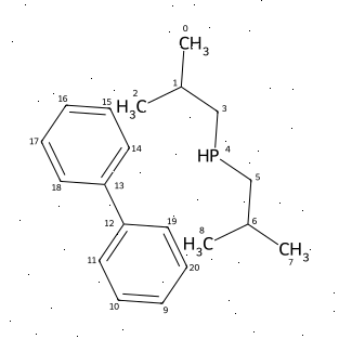 CC(C)CPCC(C)C.c1ccc(-c2ccccc2)cc1